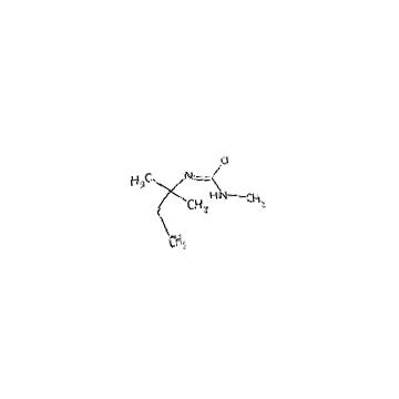 CCC(C)(C)/N=C(/Cl)NC